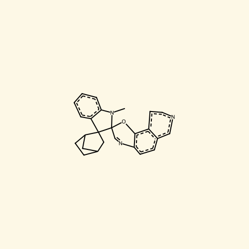 CN1c2ccccc2C2(CC3CCC2C3)C12C=Nc1ccc3cnccc3c1O2